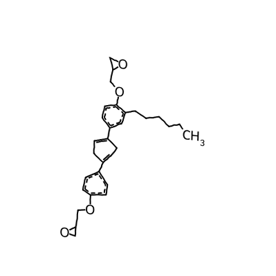 CCCCCCc1cc(C2=CCC(c3ccc(OCC4CO4)cc3)=CC2)ccc1OCC1CO1